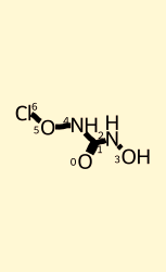 O=C(NO)NOCl